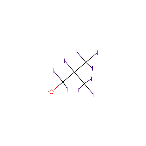 [O]C(I)(I)C(I)(C(I)(I)I)C(I)(I)I